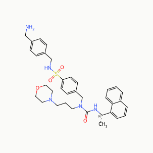 C[C@H](NC(=O)N(CCCN1CCOCC1)Cc1ccc(S(=O)(=O)NCc2ccc(CN)cc2)cc1)c1cccc2ccccc12